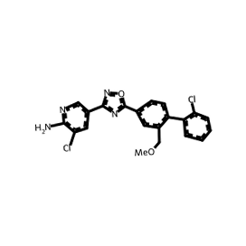 COCc1cc(-c2nc(-c3cnc(N)c(Cl)c3)no2)ccc1-c1ccccc1Cl